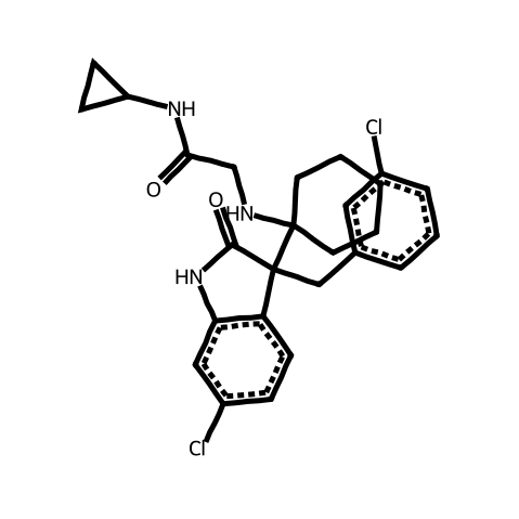 O=C(CNC1(C2(Cc3cccc(Cl)c3)C(=O)Nc3cc(Cl)ccc32)CCCCC1)NC1CC1